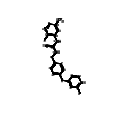 Cc1cc(Cc2ccc(CNC(=O)Nc3cc(C(F)(F)F)cnc3C)cc2)ccn1